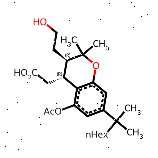 CCCCCCC(C)(C)c1cc(OC(C)=O)c2c(c1)OC(C)(C)[C@H](CCO)[C@H]2CC(=O)O